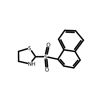 O=S(=O)(c1cccc2ccccc12)C1NCCS1